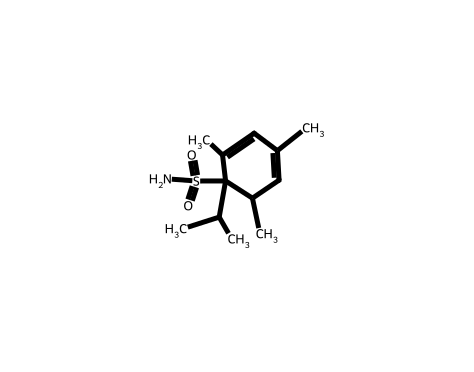 CC1=CC(C)C(C(C)C)(S(N)(=O)=O)C(C)=C1